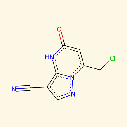 N#Cc1cnn2c(CCl)cc(=O)[nH]c12